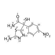 NC(=O)C(S)(c1ccc([N+](=O)[O-])cc1)c1nnc(N)s1